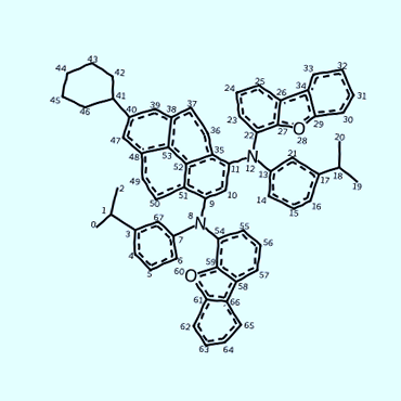 CC(C)c1cccc(N(c2cc(N(c3cccc(C(C)C)c3)c3cccc4c3oc3ccccc34)c3ccc4cc(C5CCCCC5)cc5ccc2c3c54)c2cccc3c2oc2ccccc23)c1